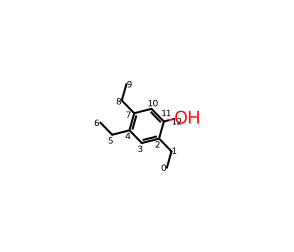 CCc1cc(CC)c(CC)cc1O